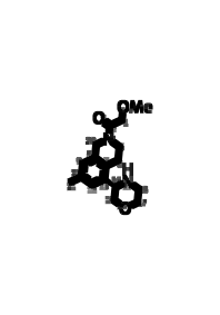 COCC(=O)N1CCc2c(cc(C)cc2[C@@H]2COCCN2)C1